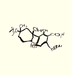 C=C1CCC(C)(C)CC1(C)c1c(O)cc(CCCC)c(C(=O)O)c1O